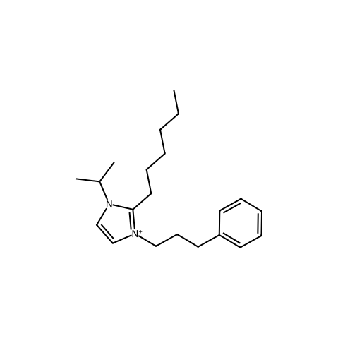 CCCCCCc1n(C(C)C)cc[n+]1CCCc1ccccc1